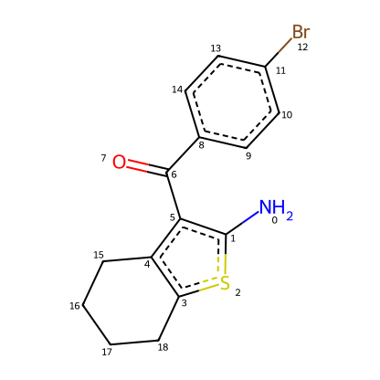 Nc1sc2c(c1C(=O)c1ccc(Br)cc1)CCCC2